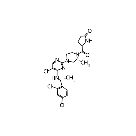 C[C@@H]1CN(c2ncc(Cl)c(N[C@H](C)c3ccc(Cl)cc3Cl)n2)CCN1C(=O)[C@H]1CCC(=O)N1